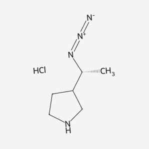 C[C@@H](N=[N+]=[N-])C1CCNC1.Cl